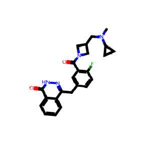 CN(CC1CN(C(=O)c2cc(Cc3n[nH]c(=O)c4ccccc34)ccc2F)C1)C1CC1